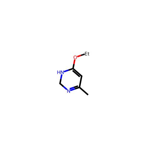 CCOC1=CC(C)=NCN1